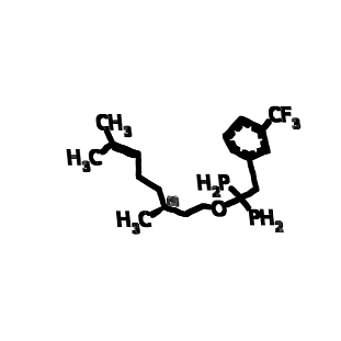 CC(C)=CCC[C@H](C)CCOC(P)(P)Cc1cccc(C(F)(F)F)c1